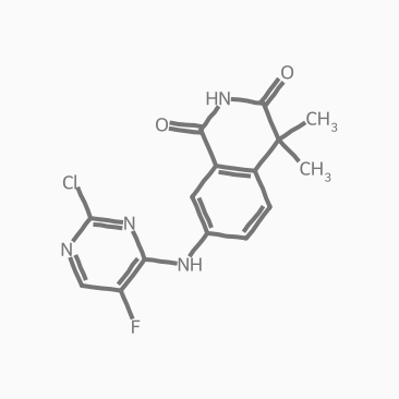 CC1(C)C(=O)NC(=O)c2cc(Nc3nc(Cl)ncc3F)ccc21